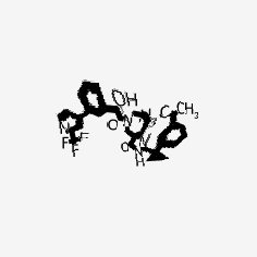 CC(C)c1cccc(C2(c3nc4c(c(=O)[nH]3)CN(C(=O)[C@H](O)c3cccc(-c5ccnc(C(F)(F)F)c5)c3)CCC4)CC2)c1